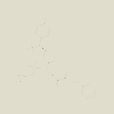 CC(C)(NC(=O)[C@H](CS(=O)(=O)CC1CC1)N[C@H](c1ccc(F)cc1)C(F)(F)F)C(=O)C(=O)NCc1ccccc1